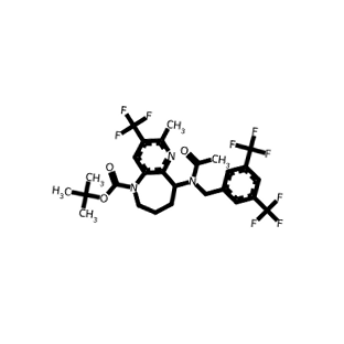 CC(=O)N(Cc1cc(C(F)(F)F)cc(C(F)(F)F)c1)C1CCCN(C(=O)OC(C)(C)C)c2cc(C(F)(F)F)c(C)nc21